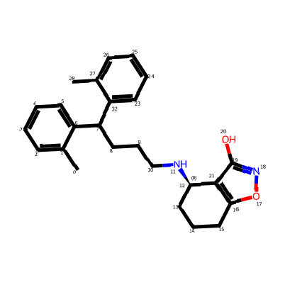 Cc1ccccc1C(CCCN[C@@H]1CCCc2onc(O)c21)c1ccccc1C